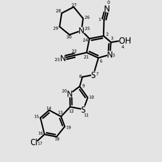 N#Cc1c(O)nc(SCc2csc(-c3ccc(Cl)cc3)n2)c(C#N)c1N1CCCCC1